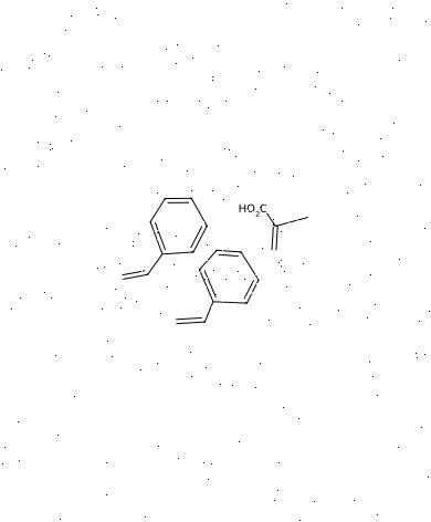 C=C(C)C(=O)O.C=Cc1ccccc1.C=Cc1ccccc1